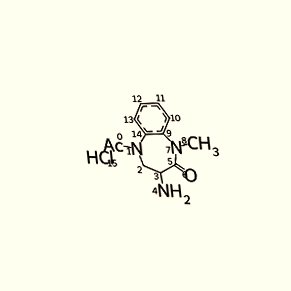 CC(=O)N1CC(N)C(=O)N(C)c2ccccc21.Cl